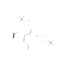 CC(C)(C)[Si](C)(C)OC[C@@H](O[Si](C)(C)C(C)(C)C)[C@@H](NC(=O)O)[C@@H](O)CO